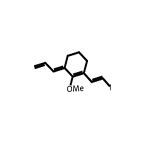 C=C/C=C1\CCCC(/C=C/I)=C1OC